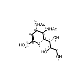 CC(=O)N[C@H]1[C@H]([C@H](O)[C@H](O)CO)OC(C(=O)O)=C[C@@H]1NC(C)=O